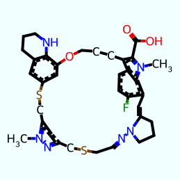 Cn1nc2cc1CSc1cc3c(c(c1)OCCCc1c(C(=O)O)n(C)c4c(c(F)ccc14)/C=C1\CCCN1/N=C/CSC2)NCCC3